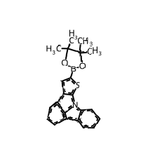 CC1(C)OB(c2cc3c4cccc5c6ccccc6n(c3s2)c54)OC1(C)C